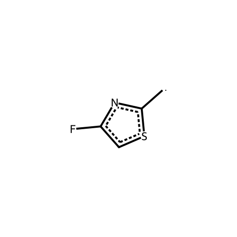 [CH2]c1nc(F)cs1